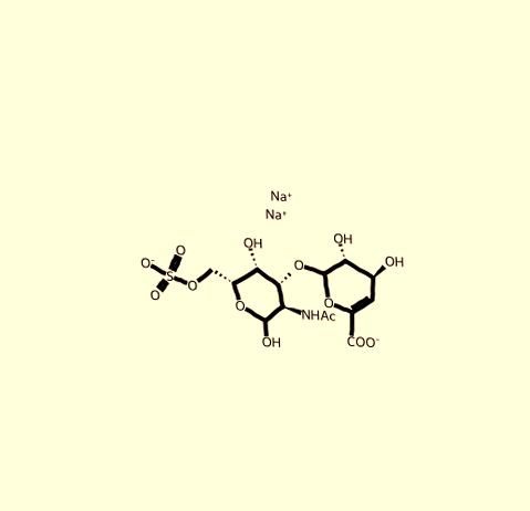 CC(=O)N[C@H]1C(O)O[C@H](COS(=O)(=O)[O-])[C@H](O)[C@@H]1OC1OC(C(=O)[O-])=C[C@H](O)[C@H]1O.[Na+].[Na+]